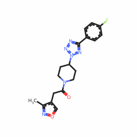 Cc1nocc1CC(=O)N1CCC(n2nnc(-c3ccc(F)cc3)n2)CC1